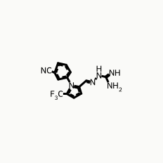 N#Cc1cccc(-n2c(C=NNC(=N)N)ccc2C(F)(F)F)c1